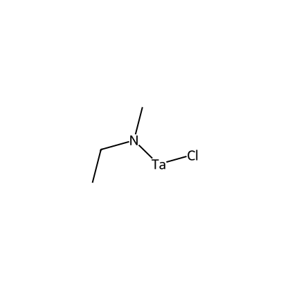 CC[N](C)[Ta][Cl]